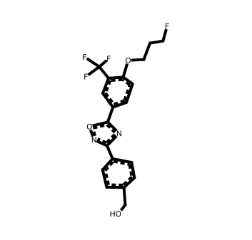 OCc1ccc(-c2noc(-c3ccc(OCCCF)c(C(F)(F)F)c3)n2)cc1